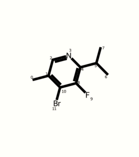 Cc1cnc(C(C)C)c(F)c1Br